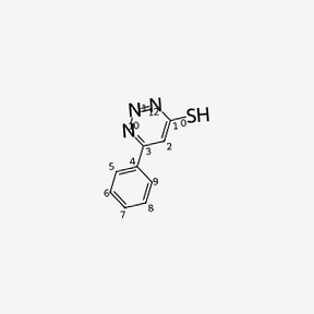 Sc1cc(-c2ccccc2)nnn1